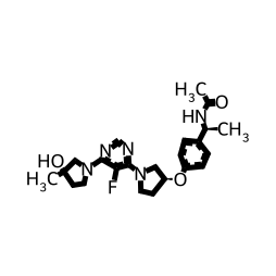 CC(=O)N[C@@H](C)c1ccc(O[C@@H]2CCN(c3ncnc(N4CCC(C)(O)C4)c3F)C2)cc1